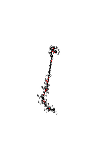 Cc1sc2c(c1C)C(c1ccc(Cl)cc1)=N[C@@H](CC(=O)Nc1ccc(OCCOCCOCCOCCOCCOCCC(=O)NCCCN(CCCNC(=O)CCNC(=O)c3nc(NC(=O)CCNC(=O)c4cc(NC(=O)c5nc(NC(=O)CCNC(=O)c6cc(NC(=O)c7nccn7C)cn6C)cn5C)cn4C)cn3C)CC(F)(F)F)cc1)c1nnc(C)n1-2